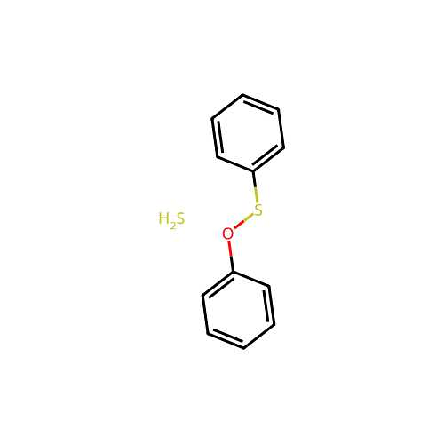 S.c1ccc(OSc2ccccc2)cc1